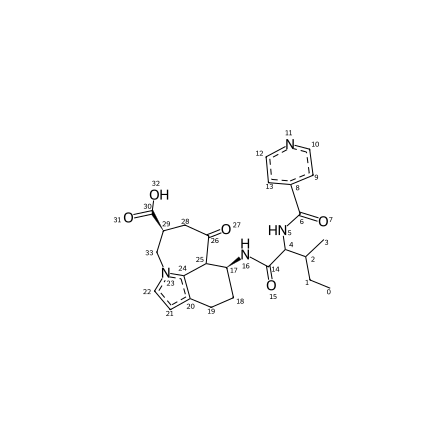 CCC(C)C(NC(=O)c1ccncc1)C(=O)N[C@H]1CCc2ccn3c2C1C(=O)C[C@H](C(=O)O)C3